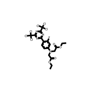 CCOC(=O)CN(CC(=O)OCC)c1ccc(-c2nc(C(Cl)(Cl)Cl)nc(C(Cl)(Cl)Cl)n2)c(F)c1